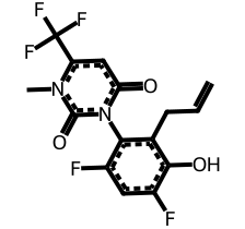 C=CCc1c(O)c(F)cc(F)c1-n1c(=O)cc(C(F)(F)F)n(C)c1=O